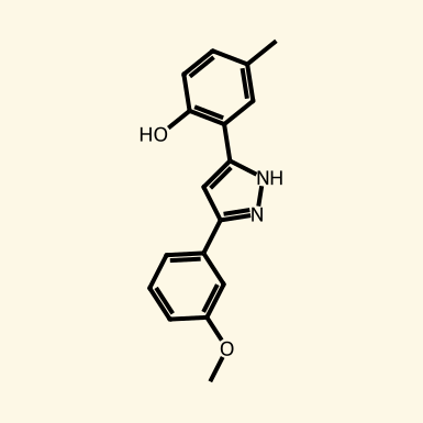 COc1cccc(-c2cc(-c3cc(C)ccc3O)[nH]n2)c1